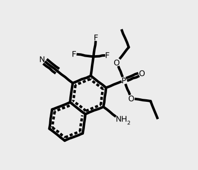 CCOP(=O)(OCC)c1c(C(F)(F)F)c(C#N)c2ccccc2c1N